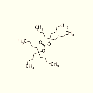 CCCCC(CCCC)(CCCC)OC(=O)OC(CCCC)(CCCC)CCCC